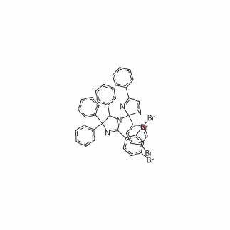 Brc1ccc(C2=NC(c3ccccc3)(c3ccccc3)C(c3ccccc3)N2C2(c3ccc(Br)cc3Br)N=CC(c3ccccc3)=N2)c(Br)c1